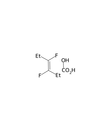 CCC(F)=C(F)CC.O=C(O)O